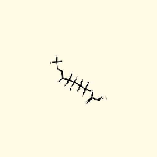 C=CC(=O)OC(F)(F)C(F)(F)C(F)(F)C(F)(F)C(F)CCC(F)(F)F